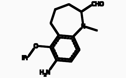 CC(C)Oc1c(N)ccc2c1CCCC(C=O)N2C